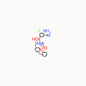 CCOC(=O)Oc1ccccc1Cc1ccc(CC(C)NCC(O)c2cc(F)c(N)c(C#N)c2)cc1